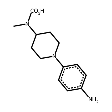 CN(C(=O)O)C1CCN(c2ccc(N)cc2)CC1